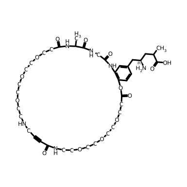 CC(C[C@@H](N)Cc1ccc2c(c1)NC(=O)CNC(=O)C(C)NC(=O)CCOCCOCCOCCNCC#CC(=O)NCCOCCOCCOCCC(=O)O2)C(=O)O